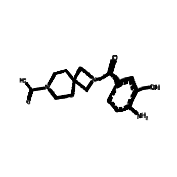 Nc1ccc(C(=O)N2CC3(CCN(C(=O)O)CC3)C2)cc1O